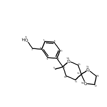 CC1(c2cccc(CO)c2)CCC2(CO1)OCCO2